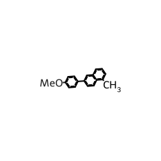 COc1ccc(-c2ccc3c(C)cccc3c2)cc1